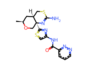 C[C@H]1C[C@H]2CSC(N)=N[C@@]2(c2nc(NC(=O)c3cccnn3)cs2)CO1